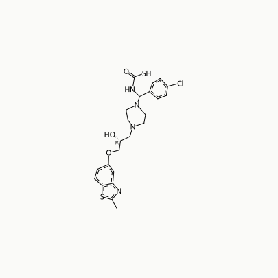 Cc1nc2cc(OC[C@H](O)CN3CCN(C(NC(=O)S)c4ccc(Cl)cc4)CC3)ccc2s1